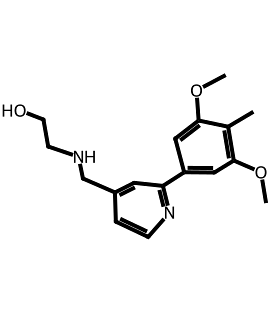 COc1cc(-c2cc(CNCCO)ccn2)cc(OC)c1C